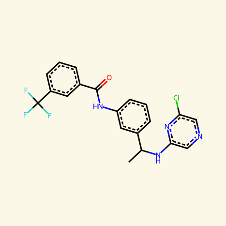 CC(Nc1cncc(Cl)n1)c1cccc(NC(=O)c2cccc(C(F)(F)F)c2)c1